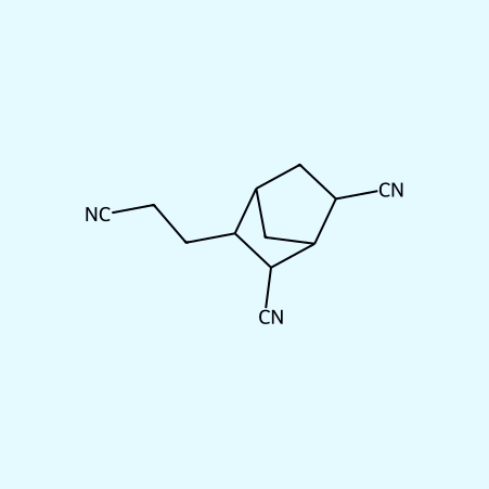 N#CCCC1C2CC(C#N)C(C2)C1C#N